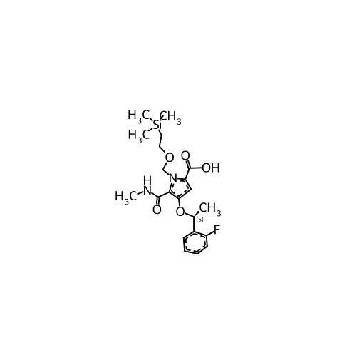 CNC(=O)c1c(O[C@@H](C)c2ccccc2F)cc(C(=O)O)n1COCC[Si](C)(C)C